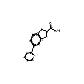 O=C(O)C1Cc2ccc(-c3ccccn3)cc2C1